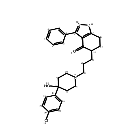 O=C1c2c(-c3ccccc3)noc2CCC1CCCN1CCC(O)(c2ccc(Cl)cc2)CC1